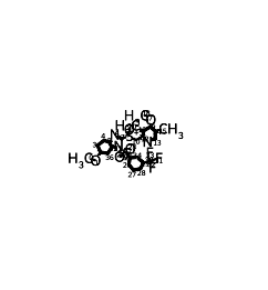 COc1ccc2nc([S+]([O-])Cc3ncc(C)c(OC)c3C)n(S(=O)(=O)c3cccc(C(F)(F)F)c3)c2c1